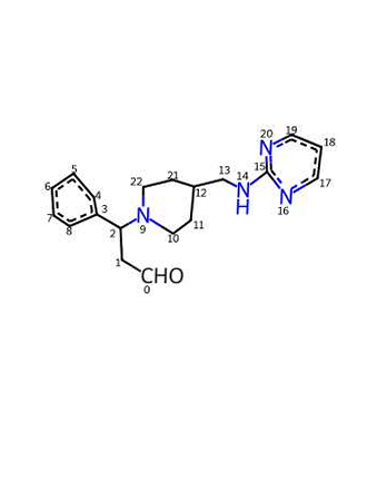 O=CCC(c1ccccc1)N1CCC(CNc2ncccn2)CC1